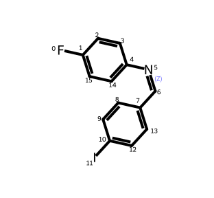 Fc1ccc(/N=C\c2ccc(I)cc2)cc1